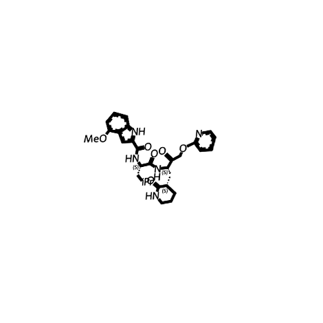 COc1cccc2[nH]c(C(=O)N[C@@H](CC(C)C)C(=O)N[C@@H](C[C@@H]3CCCNC3=O)C(=O)COc3ccccn3)cc12